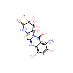 Bc1cc(B)c2nc(C)n(C3(B)C(=O)NC(=O)C(B)(B)C3(B)B)c(=O)c2c1N